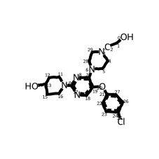 OCCN1CCN(c2nc(N3CCC(O)CC3)ncc2Oc2ccc(Cl)cc2)CC1